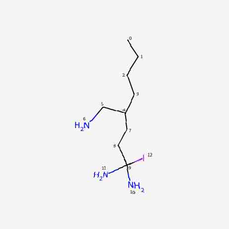 CCCCC(CN)CCC(N)(N)I